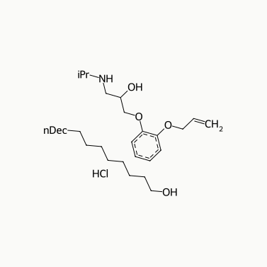 C=CCOc1ccccc1OCC(O)CNC(C)C.CCCCCCCCCCCCCCCCCCO.Cl